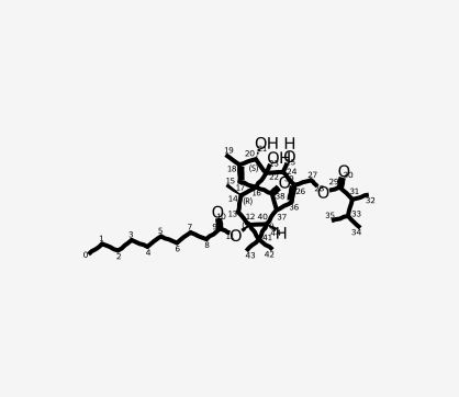 CCCCCCCCCC(=O)O[C@@]12C[C@@H](C)C34C=C(C)[C@H](O)C3(O)C(O)C(COC(=O)C(C)C(C)C)=CC(C4=O)[C@@H]1C2(C)C